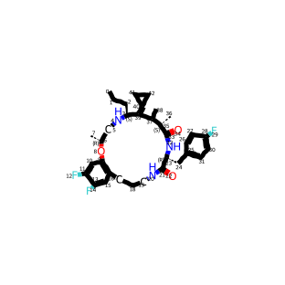 CCC[C@@H]1NC[C@@H](C)Oc2cc(F)c(F)cc2CCCNC(=O)[C@@H](Cc2ccc(F)cc2)NC(=O)[C@@H](C)C(C)C1=C1CC1